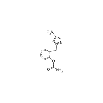 NC(=O)Oc1ccccc1Cn1cc([N+](=O)[O-])cn1